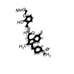 COCOc1cccc(/C=N/NC(=O)CC2=C(C)/C(=C/c3ccc([S+](C)[O-])cc3)c3ccc(F)cc32)c1O